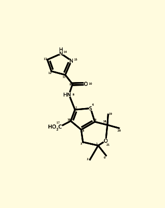 CC1(C)Cc2c(sc(NC(=O)c3cc[nH]n3)c2C(=O)O)C(C)(C)O1